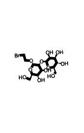 OC[C@H]1O[C@@H](O[C@@H]2[C@@H](OCCBr)O[C@H](CO)[C@@H](O)[C@@H]2O)[C@@H](O)[C@@H](O)[C@@H]1O